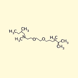 C=C(C)C(C)CCCOCCOCCN(C)CC(C)CC